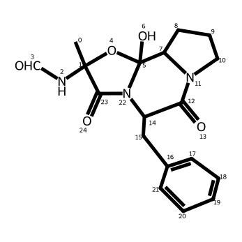 CC1(NC=O)OC2(O)C3CCCN3C(=O)C(Cc3ccccc3)N2C1=O